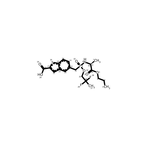 CCCOC(=O)[C@H](C)NP(=O)(Cc1ccc2sc(C(=O)O)cc2c1)OCC(C)(F)F